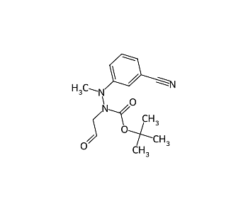 CN(c1cccc(C#N)c1)N(CC=O)C(=O)OC(C)(C)C